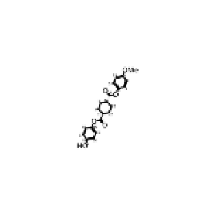 COc1ccc(OC(=O)[C@H]2CC[C@H](C(=O)Oc3ccc(O)cc3)CC2)cc1